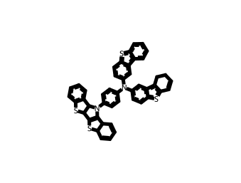 C1=CC2SC3=C(C2C=C1)N(c1ccc(N(c2ccc4sc5c(c4c2)CCC=C5)c2ccc4sc5ccccc5c4c2)cc1)C1c2ccccc2SC31